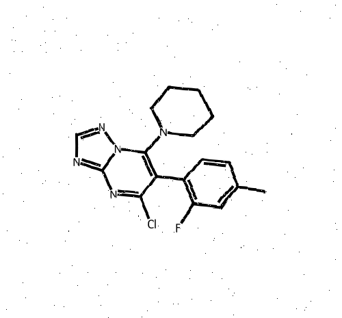 Cc1ccc(-c2c(Cl)nc3ncnn3c2N2CCCCC2)c(F)c1